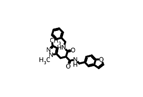 Cc1cc(CC(C(=O)NCc2ccccc2)C(=O)NCc2ccc3occc3c2)n(C)n1